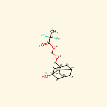 CC(F)(F)C(=O)OCOCC12CC3CC(CC(O)(C3)C1)C2